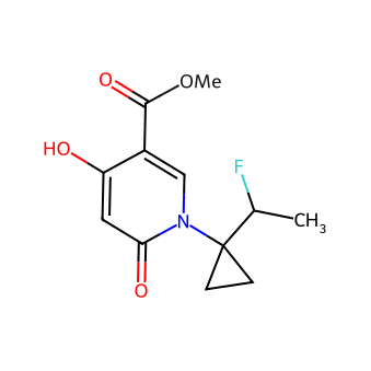 COC(=O)c1cn(C2(C(C)F)CC2)c(=O)cc1O